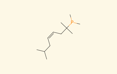 CC(C)C/C=C\CC(C)(C)P(C)C